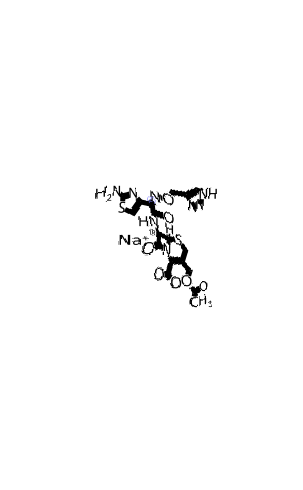 CC(=O)OCC1=C(C(=O)[O-])N2C(=O)[C@@H](NC(=O)/C(=N\OCc3c[nH]nn3)c3csc(N)n3)[C@H]2SC1.[Na+]